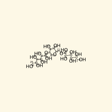 OC[C@@H](O)[C@@H](O)[C@H](O)[C@H](O)C(O)OC[C@H]1O[CH][C@H](OC(O)[C@@H](O)[C@@H](O)[C@H](O)[C@H](O)CO)[C@@H](O)[C@@H]1O